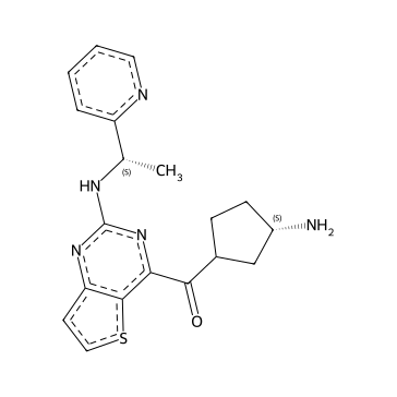 C[C@H](Nc1nc(C(=O)C2CC[C@H](N)C2)c2sccc2n1)c1ccccn1